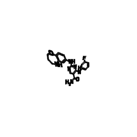 NC(=O)c1cnc(Nc2ccc3c(c2)NCCCO3)nc1Nc1cccc(F)c1